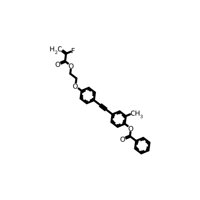 C=C(F)C(=O)OCCOc1ccc(C#Cc2ccc(OC(=O)c3ccccc3)c(C)c2)cc1